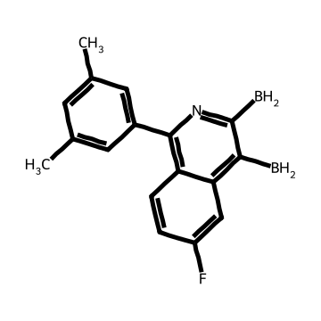 Bc1nc(-c2cc(C)cc(C)c2)c2ccc(F)cc2c1B